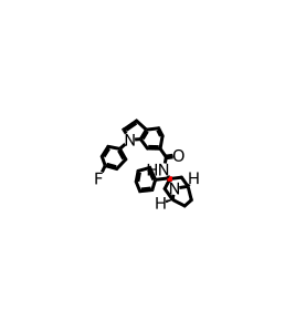 O=C(NC1C[C@H]2CC[C@@H](C1)N2Cc1ccccc1)c1ccc2ccn(-c3ccc(F)cc3)c2c1